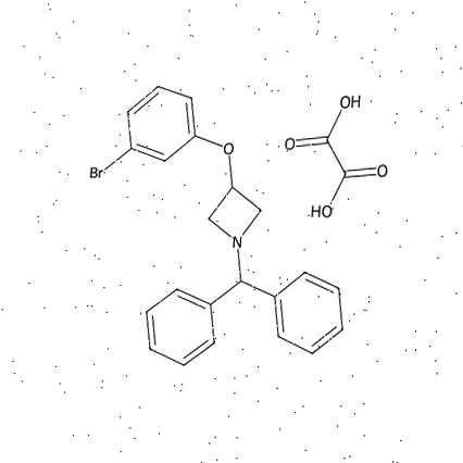 Brc1cccc(OC2CN(C(c3ccccc3)c3ccccc3)C2)c1.O=C(O)C(=O)O